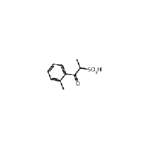 Cc1ccccc1C(=O)C(C)S(=O)(=O)O